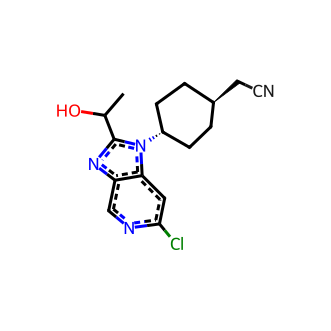 CC(O)c1nc2cnc(Cl)cc2n1[C@H]1CC[C@H](CC#N)CC1